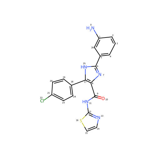 Nc1cccc(-c2nc(C(=O)Nc3nccs3)c(-c3ccc(Cl)cc3)[nH]2)c1